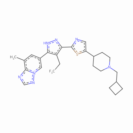 Cc1cc(-c2[nH]nc(-c3ncc(C4CCN(CC5CCC5)CC4)s3)c2CC(F)(F)F)cn2ncnc12